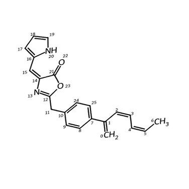 C=C(/C=C\C=C/C)c1ccc(CC2=N/C(=C/c3ccc[nH]3)C(=O)O2)cc1